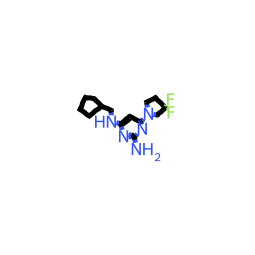 Nc1nc(NCC2CCCC2)cc(N2CCC(F)(F)C2)n1